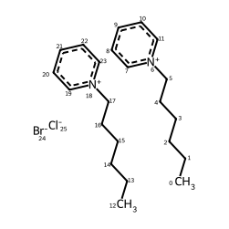 CCCCCC[n+]1ccccc1.CCCCCC[n+]1ccccc1.[Br-].[Cl-]